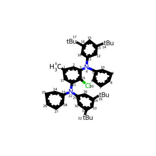 Cc1cc(N(c2ccccc2)c2cc(C(C)(C)C)cc(C(C)(C)C)c2)c(Cl)c(N(c2ccccc2)c2cc(C(C)(C)C)cc(C(C)(C)C)c2)c1